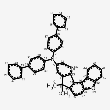 CC1(C)c2cc(N(c3ccc(-c4ccccc4)cc3)c3ccc(-c4ccccc4)cc3)cnc2-c2c1ccc1oc3ccccc3c21